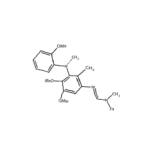 CCN(C)C=Nc1cc(OC)c(OC)c(N(C)c2ccccc2OC)c1C